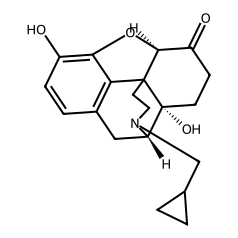 O=C1CC[C@@]2(O)[C@@H]3Cc4ccc(O)c5c4C2(CCN3CC2CC2)[C@H]1O5